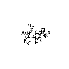 CC(=O)N1c2cnccc2[C@H](Nc2cccc(C)n2)[C@@H](C)[C@@H]1C1CC1